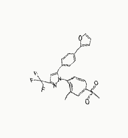 Cc1cc(S(C)(=O)=O)ccc1-n1nc(C(F)(F)F)cc1-c1ccc(-c2ccco2)cc1